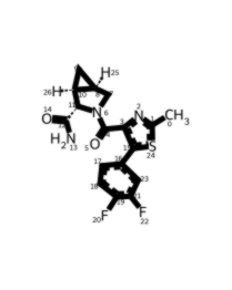 Cc1nc(C(=O)N2C[C@@H]3C[C@@H]3[C@H]2C(N)=O)c(-c2ccc(F)c(F)c2)s1